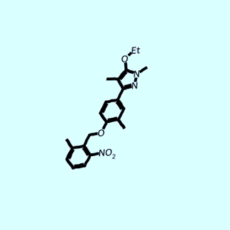 CCOc1c(C)c(-c2ccc(OCc3c(C)cccc3[N+](=O)[O-])c(C)c2)nn1C